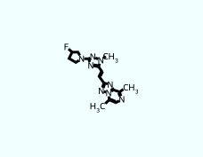 Cc1ncc(C)n2nc(C=Cc3nc(N4CCC(F)C4)nn3C)nc12